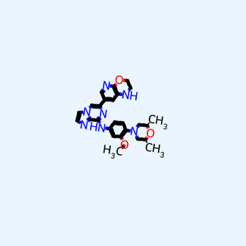 COc1cc(Nc2nc(-c3cnc4c(c3)NCCO4)cn3ccnc23)ccc1N1C[C@@H](C)O[C@@H](C)C1